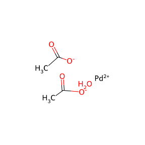 CC(=O)[O-].CC(=O)[O-].O.[Pd+2]